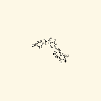 Cc1cc(C2=NOC(c3cc(Cl)c(F)c(Cl)c3)(C(F)(F)F)C2)ccc1C(=O)N(C)Cc1ccc(Cl)nc1